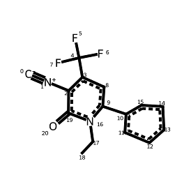 [C-]#[N+]c1c(C(F)(F)F)cc(-c2ccccc2)n(CC)c1=O